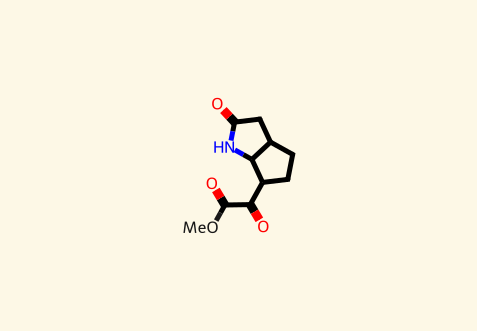 COC(=O)C(=O)C1CCC2CC(=O)NC21